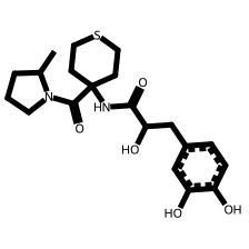 CC1CCCN1C(=O)C1(NC(=O)C(O)Cc2ccc(O)c(O)c2)CCSCC1